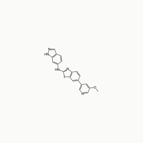 COc1cncc(-c2ccc3nc(Nc4ccc5cn[nH]c5c4)sc3c2)c1